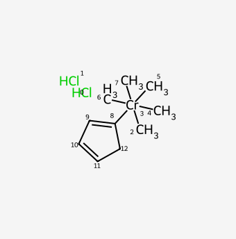 Cl.Cl.[CH3][Cr]([CH3])([CH3])([CH3])([CH3])[C]1=CC=CC1